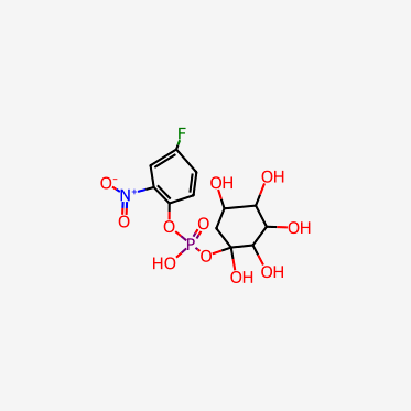 O=[N+]([O-])c1cc(F)ccc1OP(=O)(O)OC1(O)CC(O)C(O)C(O)C1O